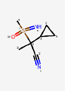 CC(C#N)(C1CC1)S(C)(=N)=O